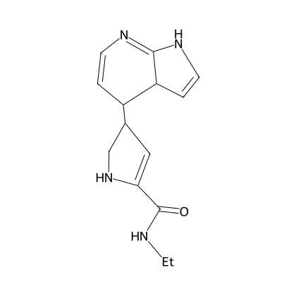 CCNC(=O)C1=CC(C2C=CN=C3NC=CC32)CN1